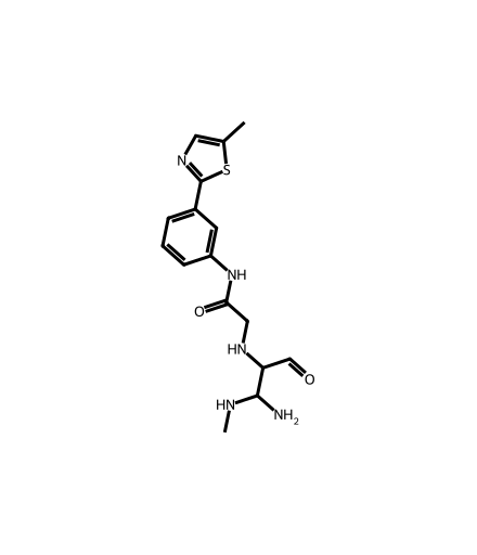 CNC(N)C(C=O)NCC(=O)Nc1cccc(-c2ncc(C)s2)c1